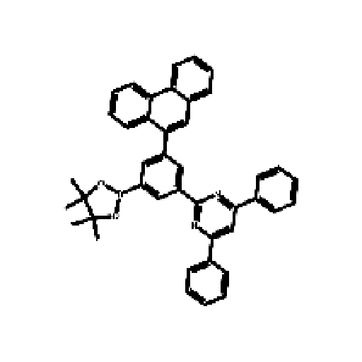 CC1(C)OB(c2cc(-c3nc(-c4ccccc4)cc(-c4ccccc4)n3)cc(-c3cc4ccccc4c4ccccc34)c2)OC1(C)C